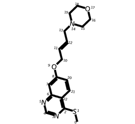 CSc1ncnc2cc(OC/C=C/CN3CCOCC3)ccc12